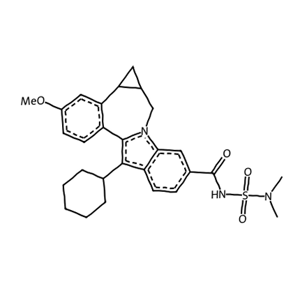 COc1ccc2c(c1)C1CC1Cn1c-2c(C2CCCCC2)c2ccc(C(=O)NS(=O)(=O)N(C)C)cc21